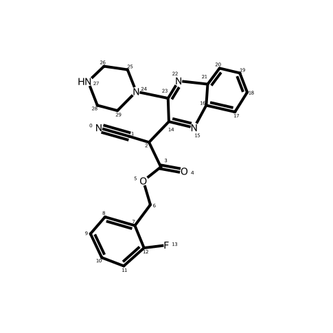 N#CC(C(=O)OCc1ccccc1F)c1nc2ccccc2nc1N1CCNCC1